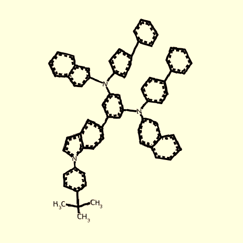 CC(C)(C)c1ccc(-n2ccc3cc(-c4cc(N(c5ccc(-c6ccccc6)cc5)c5ccc6ccccc6c5)cc(N(c5ccc(-c6ccccc6)cc5)c5ccc6ccccc6c5)c4)ccc32)cc1